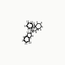 CC1(C)CCCC[C@H]1CN(c1ccccc1)C1Cc2ccccc2C1